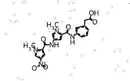 Cn1cc(NC(=O)c2cc([N+](=O)[O-])cn2C)cc1C(=O)Nc1cccc(CC(=O)O)c1